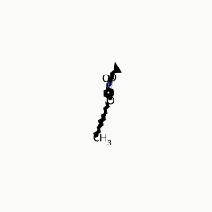 CCCCCCCCCCCCOc1ccc(/C=C/C(=O)OCC2CC2)cc1